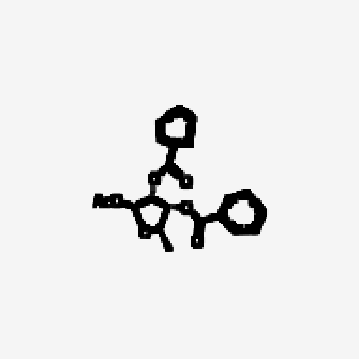 CC(=O)OC1O[C@H](C)[C@@H](OC(=O)c2ccccc2)[C@H]1OC(=O)c1ccccc1